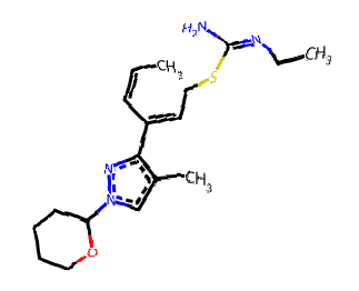 C/C=C\C(=C/CS/C(N)=N\CC)c1nn(C2CCCCO2)cc1C